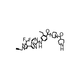 C#CCn1cc(-c2cnc3c(Nc4ccc(C(=O)N5CCN(C(=O)C6CCNCC6)CC5)c(CC)c4)nccn23)c(C(F)F)n1